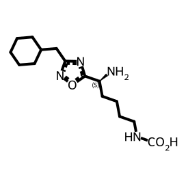 N[C@@H](CCCCNC(=O)O)c1nc(CC2CCCCC2)no1